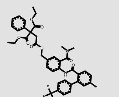 CCOC(=O)C(CC(=O)OCc1ccc(NC(=O)c2ccc(C)cc2-c2ccc(C(F)(F)F)cc2)c(C(=O)N(C)C)c1)(C(=O)OCC)c1ccccc1